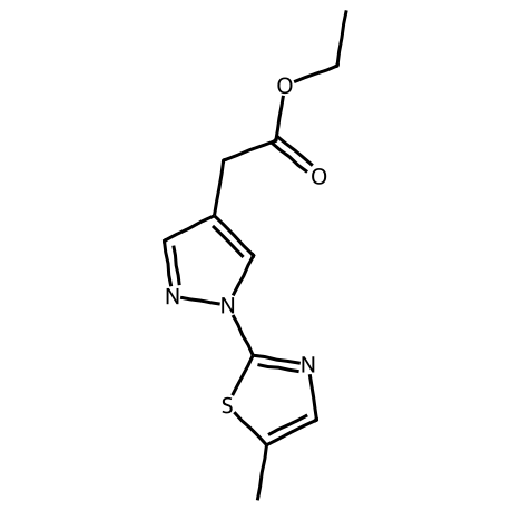 CCOC(=O)Cc1cnn(-c2ncc(C)s2)c1